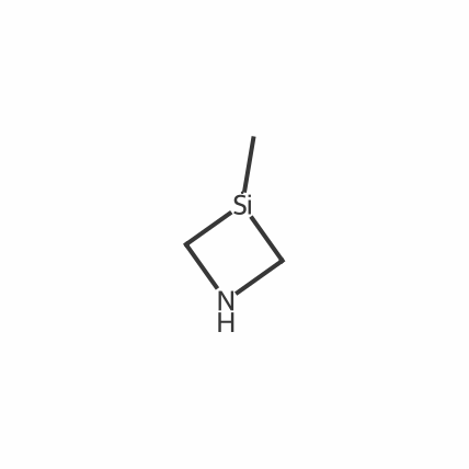 C[Si]1CNC1